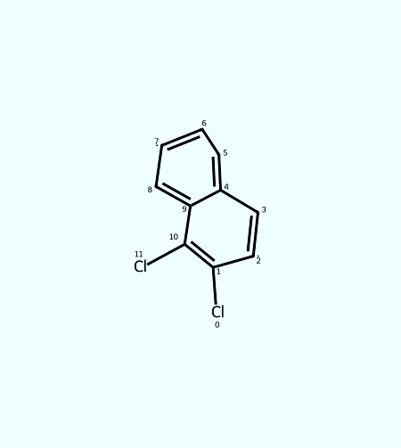 Clc1[c]cc2cc[c]cc2c1Cl